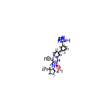 CCCCc1cn(C2C(C(C)C)CCC2C(C)C)c(=O)n1Cc1cc(-c2cccc(-c3nnn[nH]3)c2)ccn1